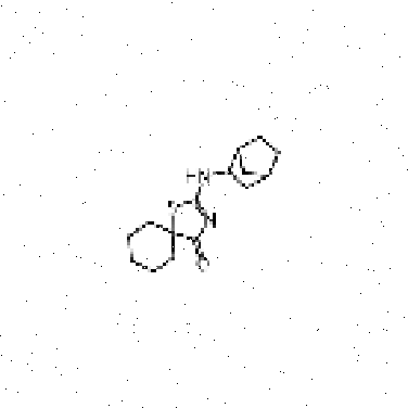 O=C1N=C(NC2CC3CCC2C3)SC12CCCCC2